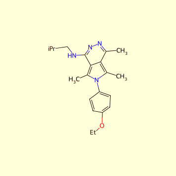 CCOc1ccc(-n2c(C)c3c(C)nnc(NCC(C)C)c3c2C)cc1